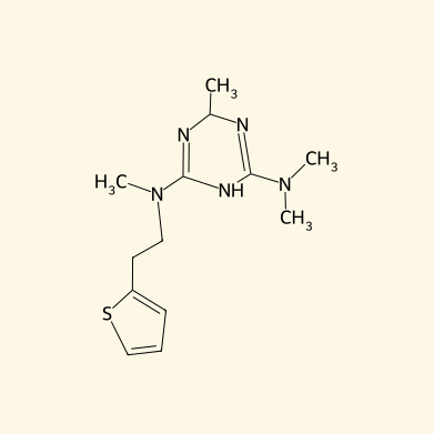 CC1N=C(N(C)C)NC(N(C)CCc2cccs2)=N1